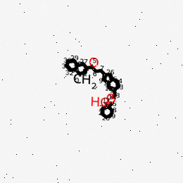 C=C1C=C(C(=O)CCC2=CC3C=C(COCC4(O)CCCCC4)C=CC3=C2)C=C2C=CC=CC12